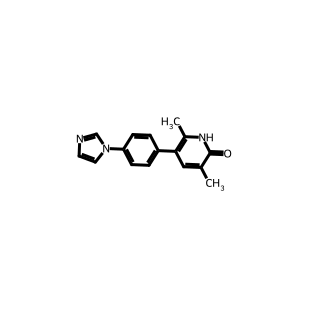 Cc1[nH]c(=O)c(C)cc1-c1ccc(-n2ccnc2)cc1